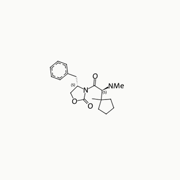 CN[C@H](C(=O)N1C(=O)OC[C@@H]1Cc1ccccc1)C1(C)CCCC1